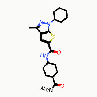 CNC(=O)C1CCC(NC(=O)c2cc3c(C)nn(C4CCCCC4)c3s2)CC1